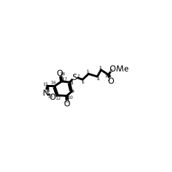 COC(=O)CCCCSC1=CC(=O)c2oncc2C1=O